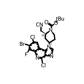 CC(C)(C)OC(=O)N1CC[C@H](n2cnc3c(Cl)nc4c(F)c(Br)c(Cl)cc4c32)C[C@H]1CC#N